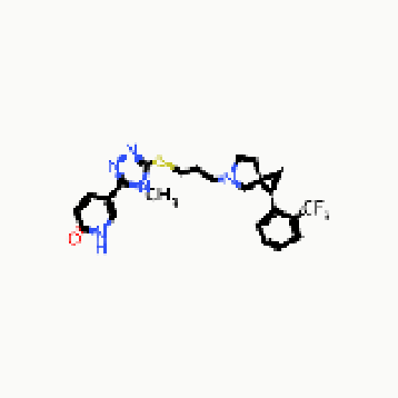 Cn1c(SCCCN2CC[C@]3(C[C@H]3c3ccccc3C(F)(F)F)C2)nnc1-c1ccc(=O)[nH]c1